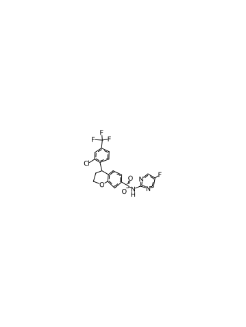 O=S(=O)(Nc1ncc(F)cn1)c1ccc2c(c1)OCCC2c1ccc(C(F)(F)F)cc1Cl